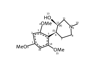 COc1cc(OC)c([C@@H]2CCN(C)C[C@@H]2O)c(OC)c1